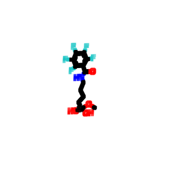 CO[Si](O)(O)CCCCNC(=O)c1c(F)c(F)c(F)c(F)c1F